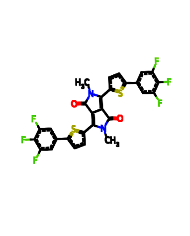 CN1C(=O)C2=C(c3ccc(-c4cc(F)c(F)c(F)c4)s3)N(C)C(=O)C2=C1c1ccc(-c2cc(F)c(F)c(F)c2)s1